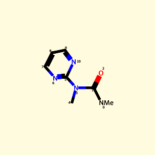 CNC(=O)N(C)c1ncccn1